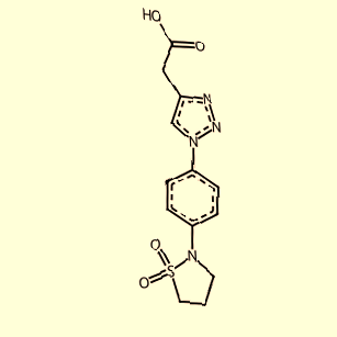 O=C(O)Cc1cn(-c2ccc(N3CCCS3(=O)=O)cc2)nn1